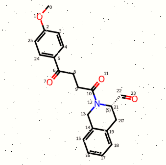 COc1ccc(C(=O)CCC(=O)N2Cc3ccccc3C[C@H]2C=O)cc1